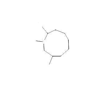 CC1CCCCCC(C)N(C)C1